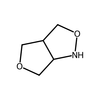 C1OCC2NOCC12